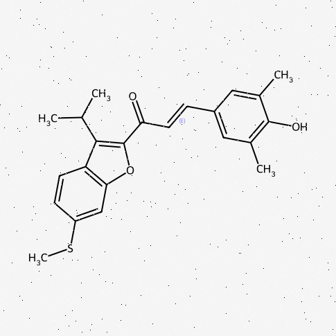 CSc1ccc2c(C(C)C)c(C(=O)/C=C/c3cc(C)c(O)c(C)c3)oc2c1